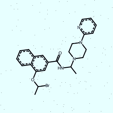 CC(Br)Oc1cc(C(=O)NC(C)N2CCN(c3ccccn3)CC2)cc2ccccc12